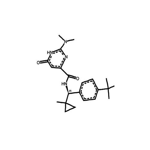 CN(C)c1nc(C(=O)N[C@@H](c2ccc(C(C)(C)C)cc2)C2(C)CC2)cc(=O)[nH]1